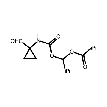 CC(C)C(=O)OC(OC(=O)NC1([C]=O)CC1)C(C)C